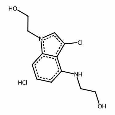 Cl.OCCNc1cccc2c1c(Cl)cn2CCO